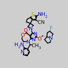 CC(c1cccnc1N)N1CCOC(=O)c2c(N3CC4(CCc5sc(N)c(C#N)c54)C3)nc(OC[C@@]34CCCN3C[C@H](F)C4)nc21